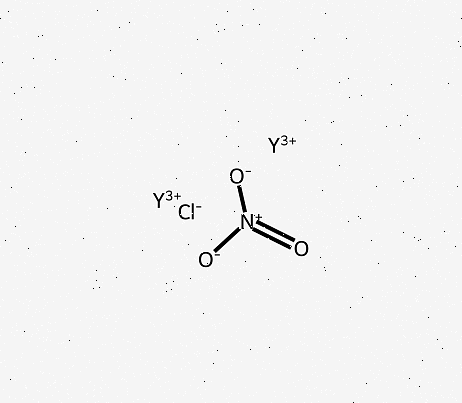 O=[N+]([O-])[O-].[Cl-].[Y+3].[Y+3]